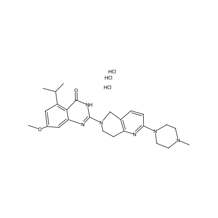 COc1cc(C(C)C)c2c(=O)[nH]c(N3CCc4nc(N5CCN(C)CC5)ccc4C3)nc2c1.Cl.Cl.Cl